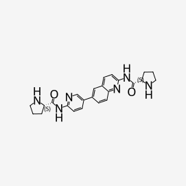 O=C(Nc1ccc(-c2ccc3nc(NC(=O)[C@@H]4CCCN4)ccc3c2)cn1)[C@@H]1CCCN1